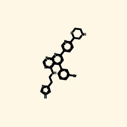 Brc1cccc(-c2cc(-c3ccc(C4CNCCO4)nc3)nc3ncnc(NCCc4c[nH]cn4)c23)c1